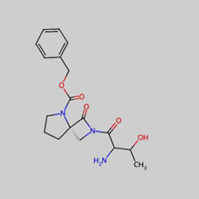 CC(O)C(N)C(=O)N1C[C@@]2(CCCN2C(=O)OCc2ccccc2)C1=O